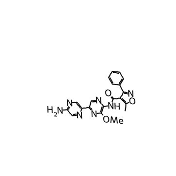 COc1nc(-c2cnc(N)cn2)cnc1NC(=O)c1c(-c2ccccc2)noc1C